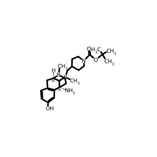 CN(CC1CCN(C(=O)OC(C)(C)C)CC1)C1[C@H]2Cc3ccc(O)cc3[C@]1(N)CCN2C